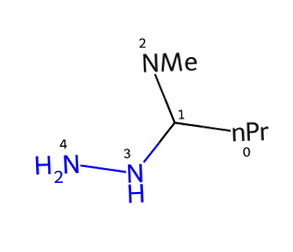 CCCC(NC)NN